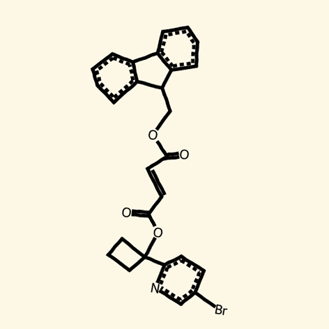 O=C(/C=C/C(=O)OC1(c2ccc(Br)cn2)CCC1)OCC1c2ccccc2-c2ccccc21